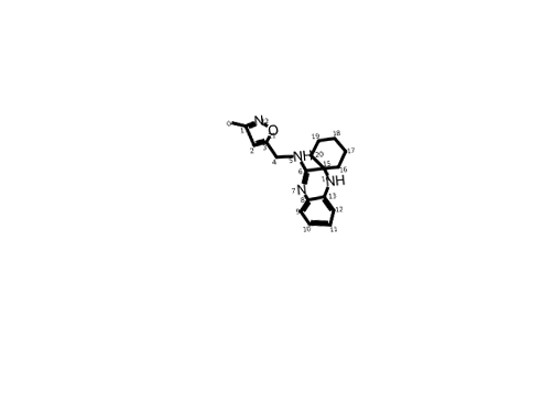 Cc1cc(CNC2=Nc3ccccc3NC23CCCCC3)on1